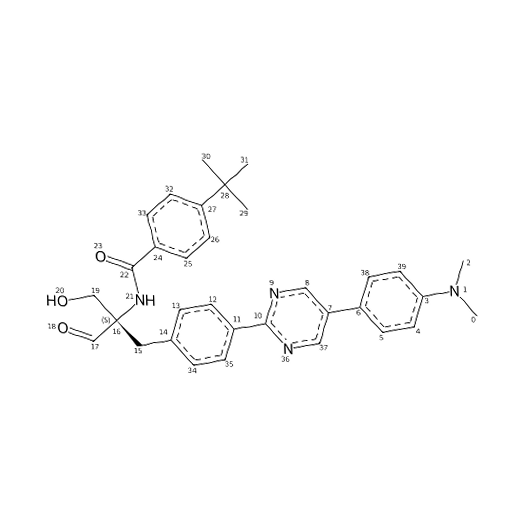 CN(C)c1ccc(-c2cnc(-c3ccc(C[C@@](C=O)(CO)NC(=O)c4ccc(C(C)(C)C)cc4)cc3)nc2)cc1